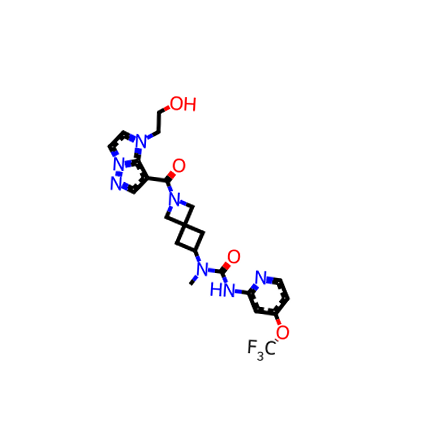 CN(C(=O)Nc1cc(OC(F)(F)F)ccn1)C1CC2(C1)CN(C(=O)c1cnn3ccn(CCO)c13)C2